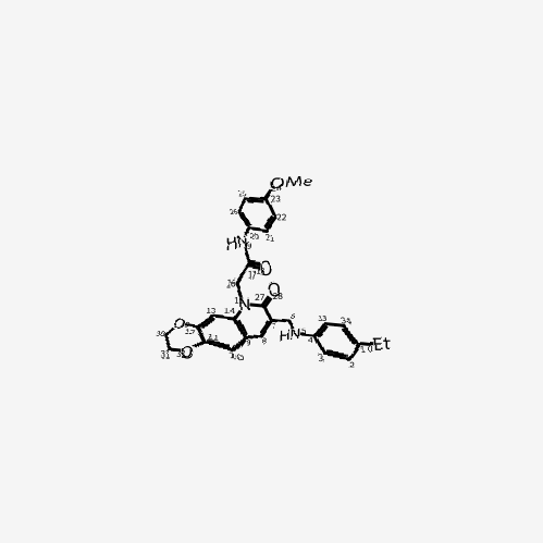 CCc1ccc(NCc2cc3cc4c(cc3n(CC(=O)Nc3ccc(OC)cc3)c2=O)OCCO4)cc1